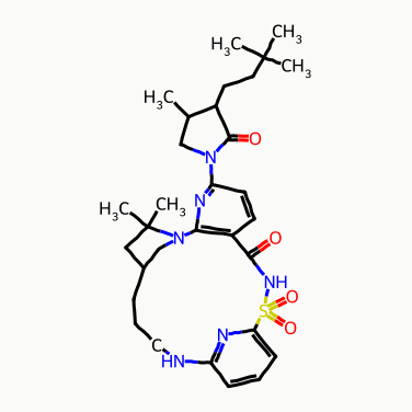 CC1CN(c2ccc3c(n2)N2CC(CCCNc4cccc(n4)S(=O)(=O)NC3=O)CC2(C)C)C(=O)C1CCC(C)(C)C